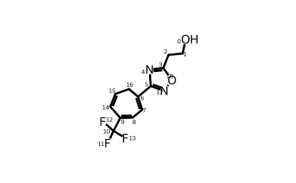 OCCc1nc(C2=CC=C(C(F)(F)F)C=CC2)no1